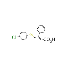 O=C(O)/C=C(/CSc1ccc(Cl)cc1)c1ccccc1